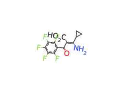 NC(=C(C(=O)O)C(=O)c1c(F)c(F)c(F)c(F)c1F)C1CC1